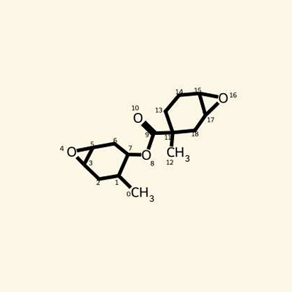 CC1CC2OC2CC1OC(=O)C1(C)CCC2OC2C1